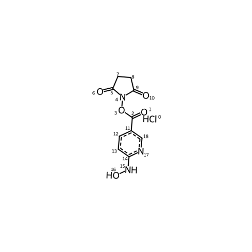 Cl.O=C(ON1C(=O)CCC1=O)c1ccc(NO)nc1